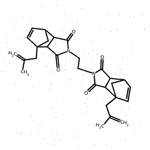 C=C(C)CC12C=CC(C1)C1C(=O)N(CCN3C(=O)C4C5C=CC(CC(=C)C)(C5)C4C3=O)C(=O)C12